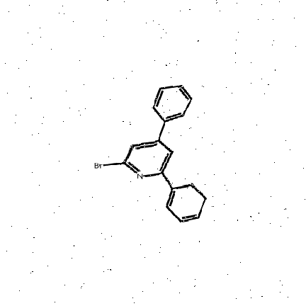 Brc1cc(-c2ccccc2)cc(C2=CC=CCC2)n1